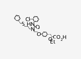 CCOC(Cc1ccc(OCCN(CCCSCc2ccccc2)C(=O)Nc2ccccc2Cl)cc1)C(=O)O